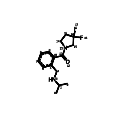 CC(C)NCc1ccccc1C(=O)N1CCC(F)(F)C1